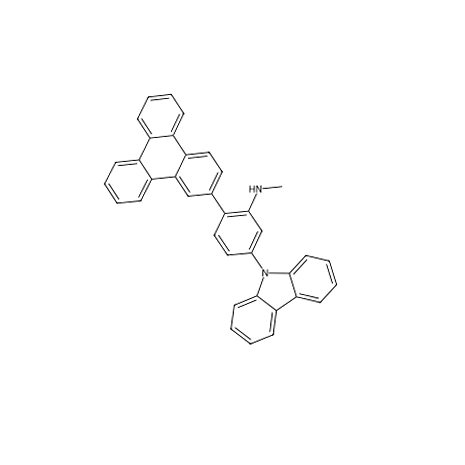 CNc1cc(-n2c3ccccc3c3ccccc32)ccc1-c1ccc2c3ccccc3c3ccccc3c2c1